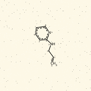 C=C[CH]Nc1ccccn1